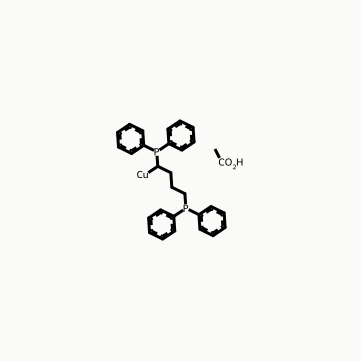 CC(=O)O.[Cu][CH](CCCP(c1ccccc1)c1ccccc1)P(c1ccccc1)c1ccccc1